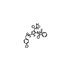 COc1ccc(CN(C)Sc2cc(C(N)=O)c(NC(=O)c3ccccc3F)s2)cc1